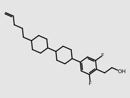 C=CCCCC1CCC(C2CCC(c3cc(F)c(CCO)c(F)c3)CC2)CC1